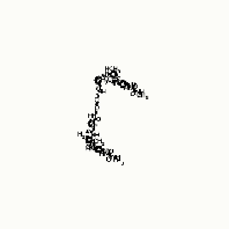 CNC(=O)C(=O)NNc1ccc(NS(=O)(=O)c2ccc(C)c(NC(=O)C[n+]3cccc(CONCCOCCOCCNC(=O)c4ccc[n+](CC(=O)Nc5c(C)ccc(S(=O)(=O)Nc6ccc(NNC(=O)C(=O)NC)cc6)c5C)c4)c3)c2C)cc1